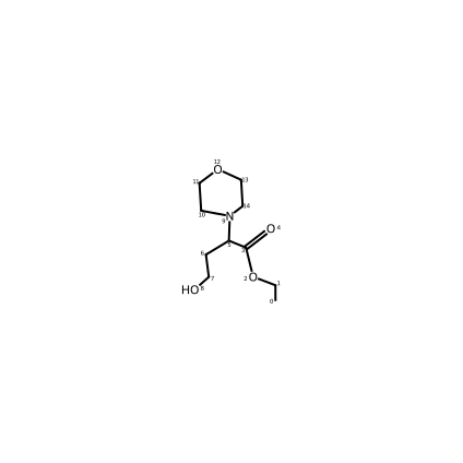 CCOC(=O)C(CCO)N1CCOCC1